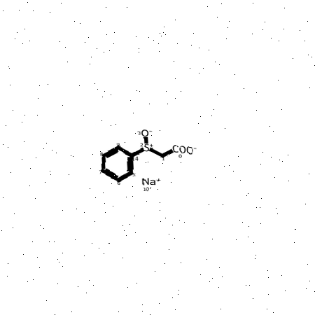 O=C([O-])C[S+]([O-])c1ccccc1.[Na+]